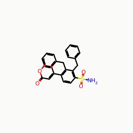 Cc1cc(-c2ccc(S(N)(=O)=O)c(Cc3ccccc3)c2Cc2ccccc2)cc(=O)o1